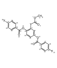 COC(=O)Cc1cc(OC(=O)c2ccc(F)cc2)ccc1OC(=O)c1ccc(F)cc1